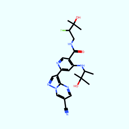 CC(Nc1cc(-c2cnn3cc(C#N)cnc23)ncc1C(=O)NCC(F)C(C)(C)O)C(C)(C)O